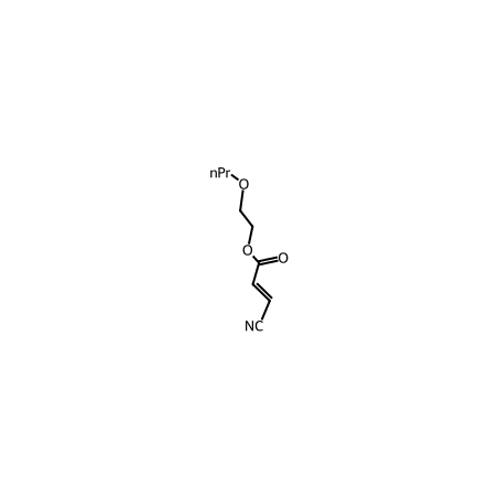 CCCOCCOC(=O)C=CC#N